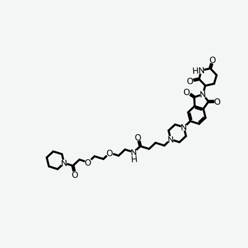 O=C(CCCN1CCN(c2ccc3c(c2)C(=O)N(C2CCC(=O)NC2=O)C3=O)CC1)NCCOCCOCC(=O)N1CCCCC1